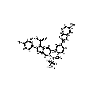 CNC(=O)c1c(-c2ccc(F)cc2)oc2cc(N(C)S(C)(=O)=O)c(-c3cccc(-c4cc5cc(Br)cnc5o4)c3)cc12